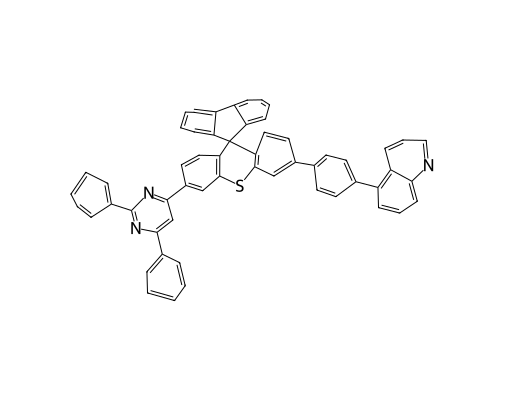 c1ccc(-c2cc(-c3ccc4c(c3)Sc3cc(-c5ccc(-c6cccc7ncccc67)cc5)ccc3C43c4ccccc4-c4ccccc43)nc(-c3ccccc3)n2)cc1